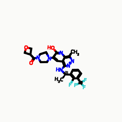 Cc1nnc(N[C@H](C)c2cccc(C(F)(F)F)c2F)c2cc(N3CCN(C(=O)C4COC4)CC3)c(O)nc12